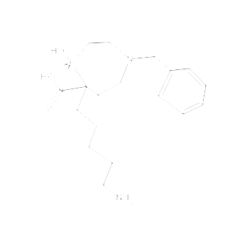 NCCCCCC1(C(=O)O)CCN(Cc2ccccc2)CCP1(=O)O